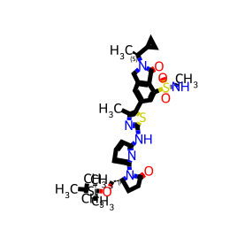 CNS(=O)(=O)c1cc(-c2sc(Nc3cccc(N4C(=O)CC[C@@H]4CO[Si](C)(C)C(C)(C)C)n3)nc2C)cc2c1C(=O)N([C@@H](C)C1CC1)C2